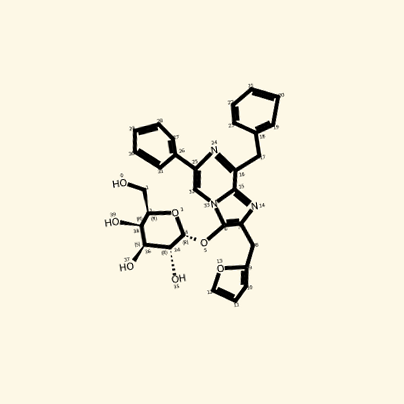 OC[C@H]1O[C@H](Oc2c(Cc3ccco3)nc3c(Cc4ccccc4)nc(-c4ccccc4)cn23)[C@H](O)[C@@H](O)[C@H]1O